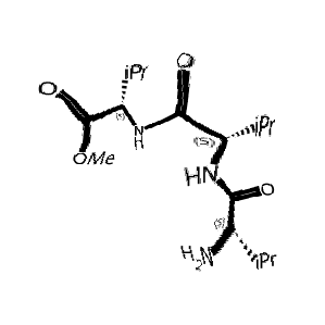 COC(=O)[C@@H](NC(=O)[C@@H](NC(=O)[C@@H](N)C(C)C)C(C)C)C(C)C